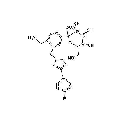 COC1(c2ccc(CN)c(Cc3ccc(-c4ccc(F)cc4)s3)c2)O[C@H](CO)[C@@H](O)[C@H](O)[C@H]1O